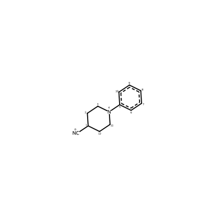 N#CC1CCN(c2ccccc2)CC1